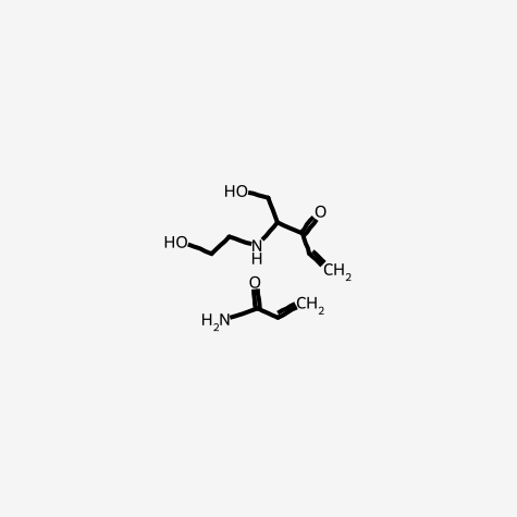 C=CC(=O)C(CO)NCCO.C=CC(N)=O